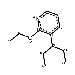 CCOc1ncccc1C(CC)CC